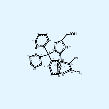 OCc1cn(C(c2ccccc2)(c2ccccc2)c2ccccc2)c(-c2cccc(Cl)c2F)n1